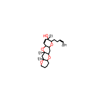 CCC/C=C\CCC1OC2CC3OC4CCCCOC4(CC)CC3(CC)OC2C=CC1(O)CC